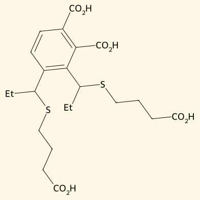 CCC(SCCCC(=O)O)c1ccc(C(=O)O)c(C(=O)O)c1C(CC)SCCCC(=O)O